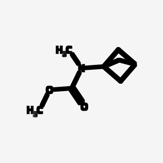 COC(=O)N(C)C12CC(C1)C2